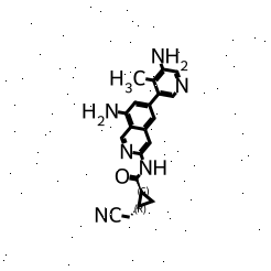 Cc1c(N)cncc1-c1cc(N)c2cnc(NC(=O)[C@H]3C[C@@H]3CC#N)cc2c1